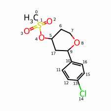 CS(=O)(=O)OC1CCOC(c2ccc(Cl)cc2)C1